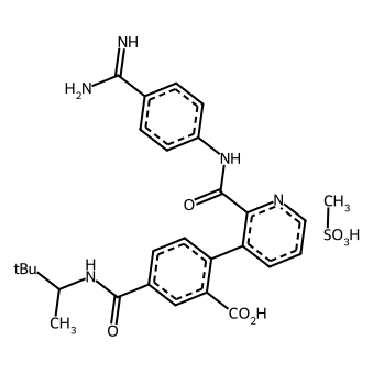 CC(NC(=O)c1ccc(-c2cccnc2C(=O)Nc2ccc(C(=N)N)cc2)c(C(=O)O)c1)C(C)(C)C.CS(=O)(=O)O